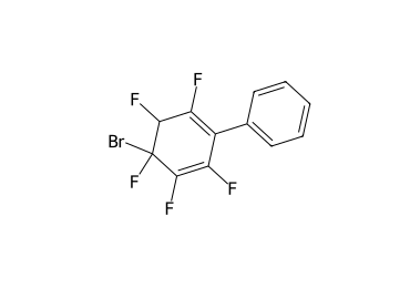 FC1=C(F)C(F)(Br)C(F)C(F)=C1c1ccccc1